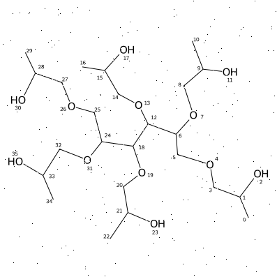 CC(O)COCC(OCC(C)O)C(OCC(C)O)C(OCC(C)O)C(COCC(C)O)OCC(C)O